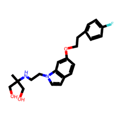 CC(CO)(CO)NCCn1ccc2ccc(OCCc3ccc(F)cc3)cc21